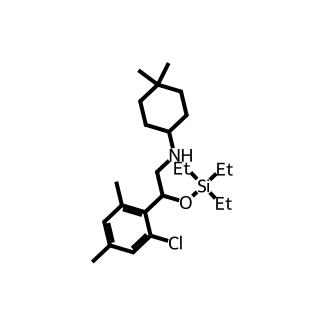 CC[Si](CC)(CC)OC(CNC1CCC(C)(C)CC1)c1c(C)cc(C)cc1Cl